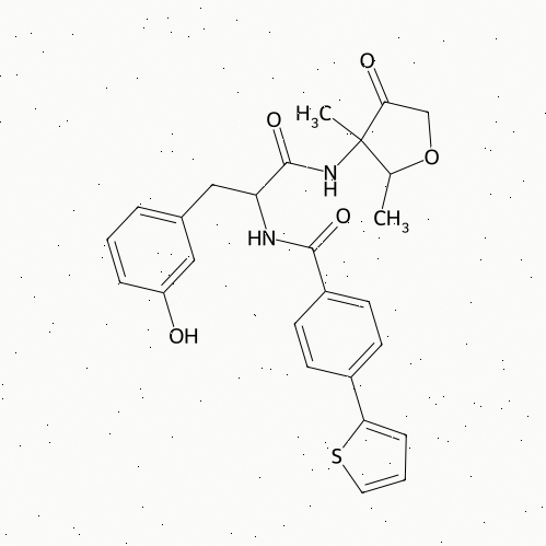 CC1OCC(=O)C1(C)NC(=O)C(Cc1cccc(O)c1)NC(=O)c1ccc(-c2cccs2)cc1